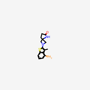 Cc1c(N2CC3(CCC(=O)N3)C2)sc2cccc(P)c12